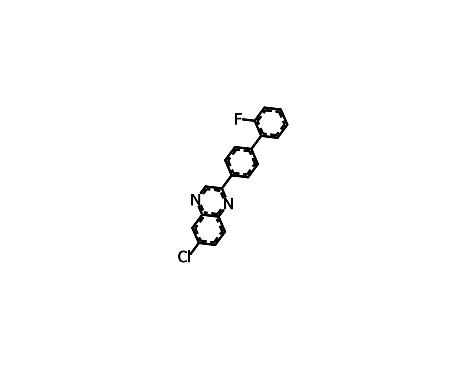 Fc1ccccc1-c1ccc(-c2cnc3cc(Cl)ccc3n2)cc1